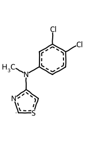 CN(c1ccc(Cl)c(Cl)c1)c1cs[c]n1